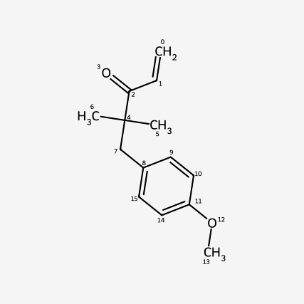 C=CC(=O)C(C)(C)Cc1ccc(OC)cc1